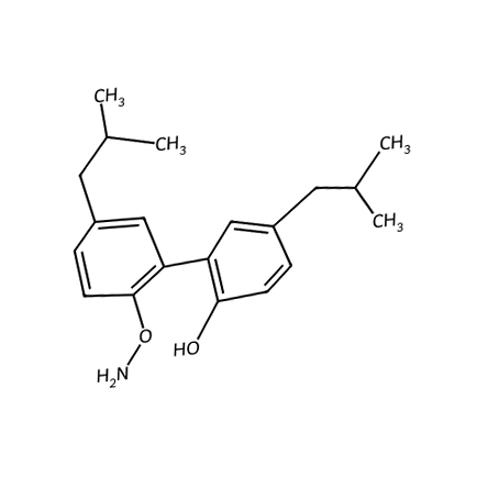 CC(C)Cc1ccc(O)c(-c2cc(CC(C)C)ccc2ON)c1